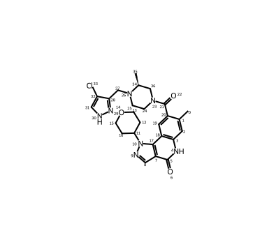 Cc1cc2[nH]c(=O)c3cnn(C4CCOCC4)c3c2cc1C(=O)N1CCN(Cc2n[nH]cc2Cl)[C@@H](C)C1